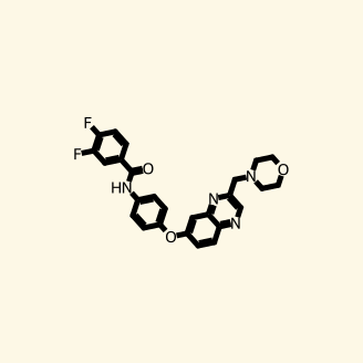 O=C(Nc1ccc(Oc2ccc3ncc(CN4CCOCC4)nc3c2)cc1)c1ccc(F)c(F)c1